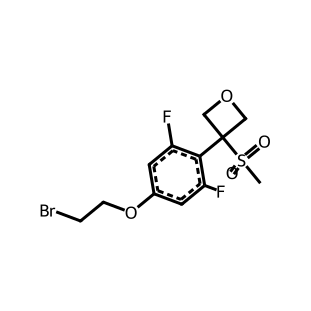 CS(=O)(=O)C1(c2c(F)cc(OCCBr)cc2F)COC1